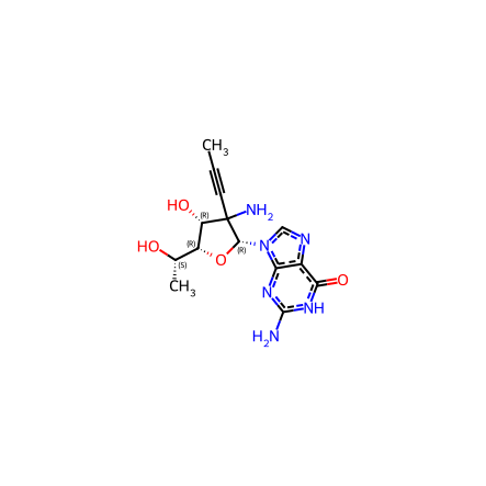 CC#CC1(N)[C@@H](O)[C@@H]([C@H](C)O)O[C@H]1n1cnc2c(=O)[nH]c(N)nc21